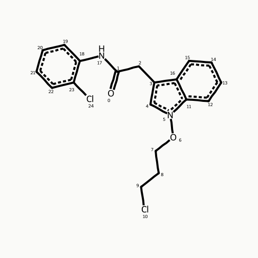 O=C(Cc1cn(OCCCCl)c2ccccc12)Nc1ccccc1Cl